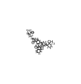 Cc1ccccc1N1CCN(c2ccc(C(=O)NCCCN3CCCC3=O)cc2NC(=O)c2ccccc2Cl)CC1